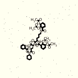 CC(=O)Oc1cccc(C(=O)NCCCCC(NC(=O)c2cccc(OC(C)=O)c2OC(C)=O)C(=O)N[C@@H](CCC(=O)N(OC(=O)c2ccccc2)C2CCCCC2)C(=O)O)c1OC(C)=O